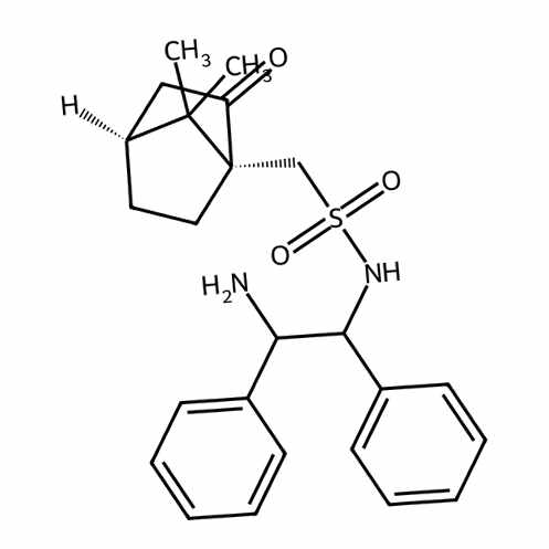 CC1(C)[C@H]2CC[C@]1(CS(=O)(=O)NC(c1ccccc1)C(N)c1ccccc1)C(=O)C2